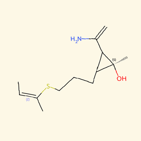 C=C(N)C1C(CCCS/C(C)=C\C)[C@]1(C)O